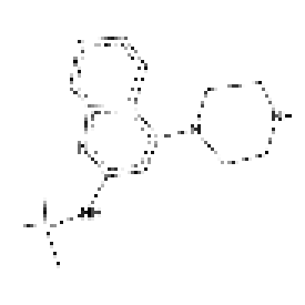 CC(C)(C)Nc1cc(N2CCNCC2)c2ccccc2n1